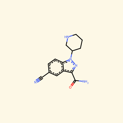 N#Cc1ccc2c(c1)c(C(N)=O)nn2C1CCCNC1